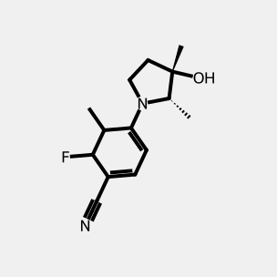 CC1C(N2CC[C@](C)(O)[C@@H]2C)=CC=C(C#N)C1F